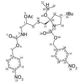 CC(=O)OC(CNC(=O)OCc1ccc([N+](=O)[O-])cc1)CSC[C@@]1(O[SiH](C)C)C[C@H](C(C)(C)C)CN1C(=O)OCc1ccc([N+](=O)[O-])cc1